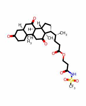 C[C@H](CCC(=O)OCCC(=O)NS(=O)(=O)C(F)(F)F)[C@H]1CC[C@H]2[C@@H]3C(=O)C[C@@H]4CC(=O)CC[C@]4(C)[C@H]3CC(=O)[C@]12C